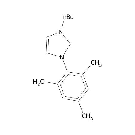 CCCCN1C=CN(c2c(C)cc(C)cc2C)C1